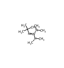 C[N](C)[W](=[N]C(C)(C)C)[N](C)C